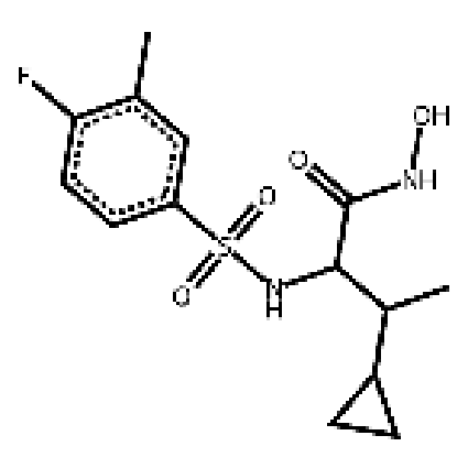 Cc1cc(S(=O)(=O)NC(C(=O)NO)C(C)C2CC2)ccc1F